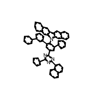 c1ccc(-c2cccc(-c3cc(-c4nc(-c5ccccc5)nc(-c5cccc6ccccc56)n4)cc(-c4ccccc4)c3-n3c4cc5ccccc5cc4c4cc5ccccc5cc43)c2)cc1